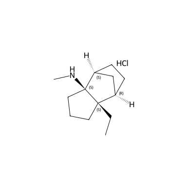 CC[C@@]12CCC[C@]1(NC)[C@H]1CC[C@@H]2C1.Cl